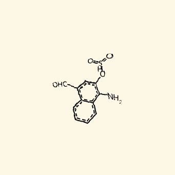 Nc1c(O[SH](=O)=O)cc(C=O)c2ccccc12